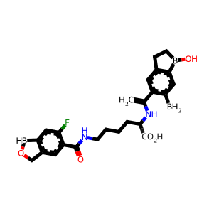 Bc1cc2c(cc1C(=C)NC(CCCCNC(=O)c1cc3c(cc1F)BOC3)C(=O)O)CCB2O